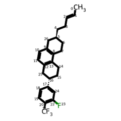 C/C=C/CC[C@H]1CCc2c(ccc3c2CC[C@H](c2ccc(C(F)(F)F)c(F)c2)C3)C1